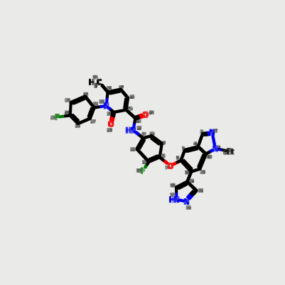 CCn1ncc2cc(Oc3ccc(NC(=O)c4ccc(C)n(-c5ccc(F)cc5)c4=O)cc3F)c(-c3cn[nH]c3)cc21